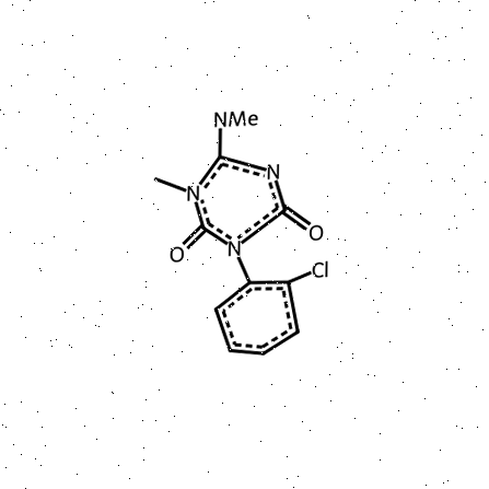 CNc1nc(=O)n(-c2ccccc2Cl)c(=O)n1C